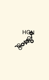 C=CCOC(=O)c1ccc(N2CCN(C(=O)c3ccccc3C#Cc3cncc(O)c3)CC2)cc1